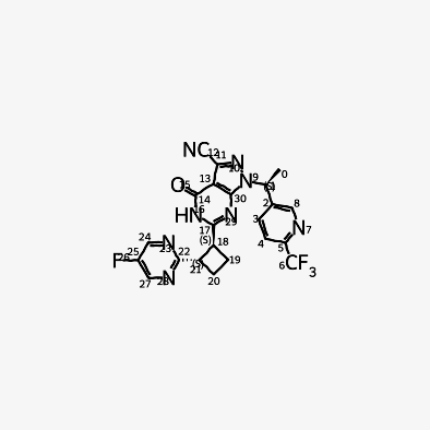 C[C@@H](c1ccc(C(F)(F)F)nc1)n1nc(C#N)c2c(=O)[nH]c([C@H]3CC[C@@H]3c3ncc(F)cn3)nc21